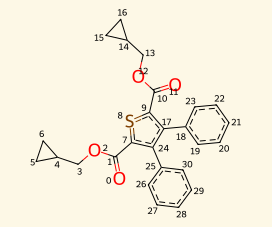 O=C(OCC1CC1)c1sc(C(=O)OCC2CC2)c(-c2ccccc2)c1-c1ccccc1